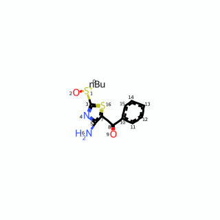 CCCC[S+]([O-])c1nc(N)c(C(=O)c2ccccc2)s1